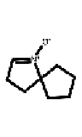 [O-][N+]1=CCCC12CCCC2